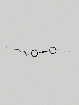 CCCCC=C(F)c1ccc(C#Cc2ccc(OCC)cc2)cc1